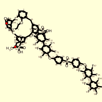 CCCOc1c2cccc1Cc1cc(S(=O)(=O)O)cc(c1Oc1c(F)c(F)c(-c3c(F)c(F)c(Oc4ccc(S(=O)(=O)c5ccc(Oc6c(F)c(F)c(-c7c(F)c(F)c(F)c(F)c7F)c(F)c6F)cc5)cc4)c(F)c3F)c(F)c1F)Cc1cc(S(=O)(=O)O)cc(c1OCCC)Cc1cccc(c1OC)C2